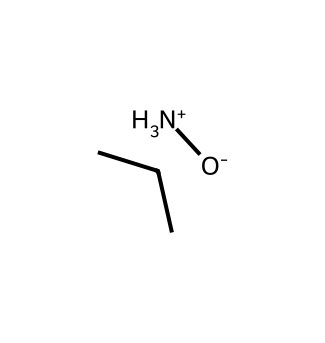 CCC.[NH3+][O-]